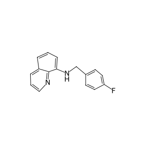 Fc1ccc(CNc2cccc3cccnc23)cc1